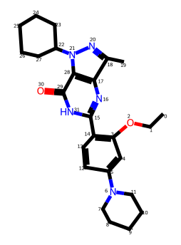 CCOc1cc(N2CC[CH]CC2)ccc1-c1nc2c(C)nn(C3CCCCC3)c2c(=O)[nH]1